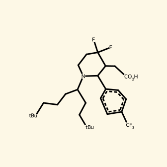 CC(C)(C)CCCC(CCC(C)(C)C)N1CCC(F)(F)C(CC(=O)O)C1c1ccc(C(F)(F)F)cc1